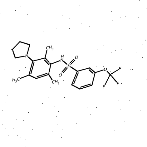 Cc1cc(C)c(N2CCCC2)c(C)c1NS(=O)(=O)c1cccc(OC(F)(F)F)c1